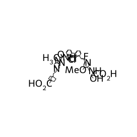 COc1cc(/C(F)=C/c2cccc(-c3cccc(NC(=O)c4nc5c(n4C)CCN(CCC46CCC(C(=O)O)(CC4)C6)C5)c3Cl)c2Cl)ncc1CN[C@H](CO)C(=O)O